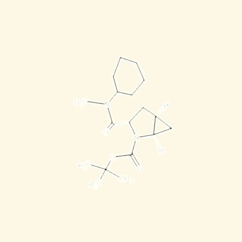 CN(C(=O)[C@@H]1C[C@H]2C[C@H]2N1C(=O)OC(C)(C)C)C1CCCCC1